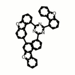 c1ccc(-c2nc(-c3cccc4oc5ccccc5c34)nc(-c3cccc4oc5ccc(-c6ccc7c(c6)oc6ccccc67)cc5c34)n2)cc1